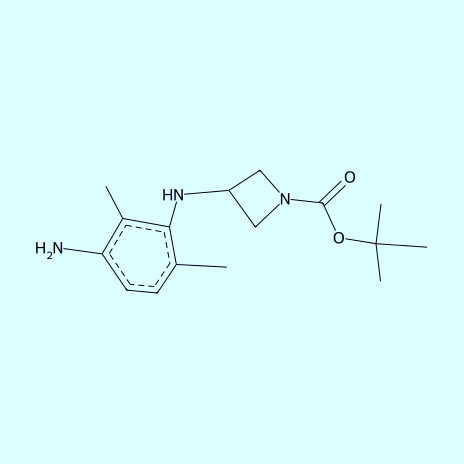 Cc1ccc(N)c(C)c1NC1CN(C(=O)OC(C)(C)C)C1